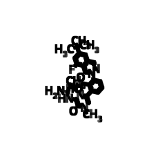 CN[C@@H](N)Nc1nc(-c2cccc(-n3ncc4cc(C(C)(C)C)cc(F)c4c3=O)c2CO)cn(C)c1=O